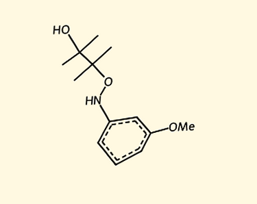 COc1cccc(NOC(C)(C)C(C)(C)O)c1